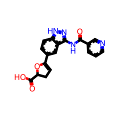 O=C(Nc1n[nH]c2ccc(C3=CCC(C(=O)O)O3)cc12)c1cccnc1